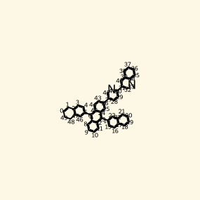 C1=Cc2ccc(-c3c4ccccc4c(-c4ccc5ccccc5c4)c4cc(-c5ccc(-c6cnc7ccccc7c6)nc5)ccc34)cc2CC1